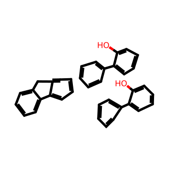 Oc1ccccc1-c1ccccc1.Oc1ccccc1-c1ccccc1.c1ccc2c(c1)Cc1ccccc1-2